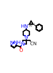 N#CCC1(N2CCC(N[C@@H]3C[C@H]3c3ccccc3)CC2)CN(C(=O)c2ccn[nH]2)C1